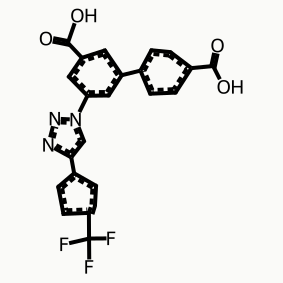 O=C(O)c1ccc(-c2cc(C(=O)O)cc(-n3cc(-c4ccc(C(F)(F)F)cc4)nn3)c2)cc1